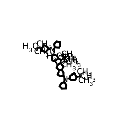 CC(C)(C)c1ccc(N(c2ccccc2)c2ccc3c(c2)C([Si](C)(C)C)([Si](C)(C)C)c2cc4cc(N(c5ccccc5)c5ccc(C(C)(C)C)cc5)ccc4cc2-3)cc1